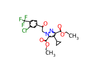 CCOC(=O)c1nn(CC(=O)c2ccc(C(F)(F)F)c(Cl)c2)c(C(=O)OCC)c1C1CC1